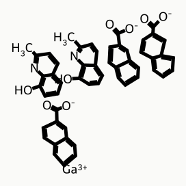 Cc1ccc2cccc(O)c2n1.Cc1ccc2cccc(O)c2n1.O=C([O-])c1ccc2ccccc2c1.O=C([O-])c1ccc2ccccc2c1.O=C([O-])c1ccc2ccccc2c1.[Ga+3]